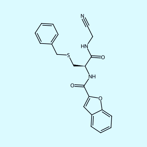 N#CCNC(=O)[C@H](CSCc1ccccc1)NC(=O)c1cc2ccccc2o1